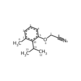 Cc1cccc(OCC#N)c1C(C)C